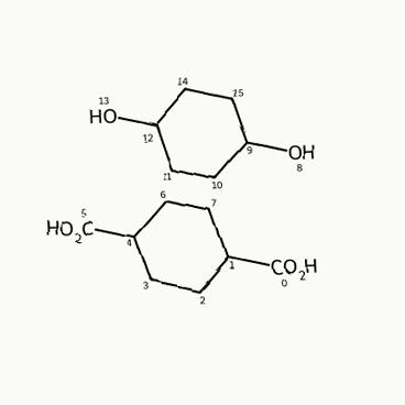 O=C(O)C1CCC(C(=O)O)CC1.OC1CCC(O)CC1